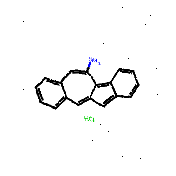 Cl.Nc1cc2ccccc2cc2cc3ccccc3c1-2